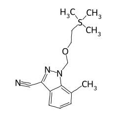 Cc1cccc2c(C#N)nn(COCCS(C)(C)C)c12